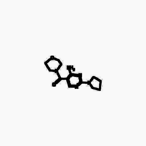 Nc1nc(N2CCCC2)ncc1C(=O)N1CCOCC1